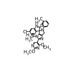 COc1ncc(-c2nc3c(n2C(C)C)C2(C(=O)Nc4cc(Cl)ccc42)N(c2cccc(C)c2)C3)c(OC)n1